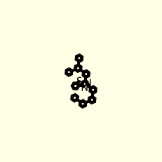 c1ccc(-c2cccc(-c3cccc(-c4cccc(-c5nc(-c6cccc(-c7cc(-c8ccccc8)cc(-c8ccccc8)c7)c6)c6sc7ccccc7c6n5)c4)c3)c2)cc1